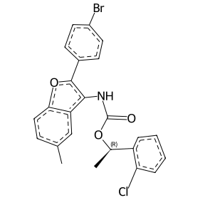 Cc1ccc2oc(-c3ccc(Br)cc3)c(NC(=O)O[C@H](C)c3ccccc3Cl)c2c1